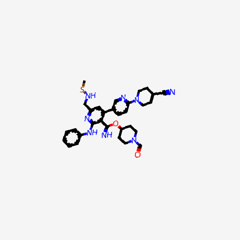 CSNCc1cc(-c2ccc(N3CCC(C#N)CC3)nc2)c(C(=N)OC2CCN(C=O)CC2)c(Nc2ccccc2)n1